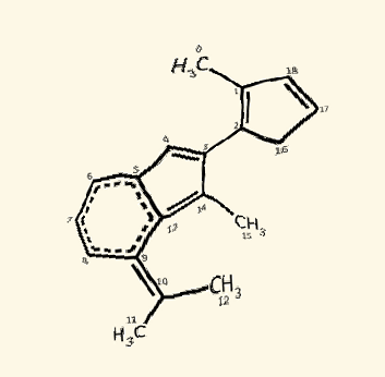 CC1=C(C2=[C]c3cccc(=C(C)C)c3=C2C)CC=C1